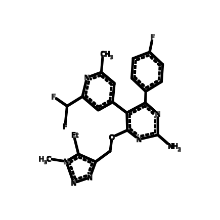 CCc1c(COc2nc(N)nc(-c3ccc(F)cc3)c2-c2cc(C)nc(C(F)F)c2)nnn1C